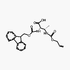 C=CCOC(=O)N[C@@H](C)[C@H](NC(=O)OCC1c2ccccc2-c2ccccc21)C(=O)O